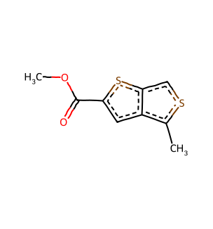 COC(=O)c1cc2c(C)scc2s1